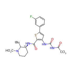 CC(C)(C)C1[C@@H](NC(=O)c2sc(-c3cccc(F)c3)cc2NC(=O)NC(=O)C(Cl)(Cl)Cl)CCCN1C(=O)O